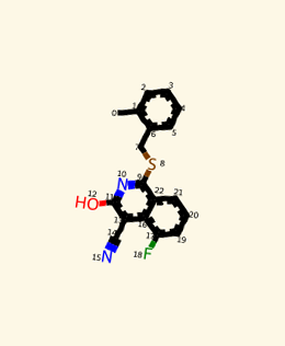 Cc1ccccc1CSc1nc(O)c(C#N)c2c(F)cccc12